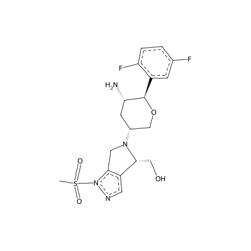 CS(=O)(=O)n1ncc2c1CN([C@H]1CO[C@H](c3cc(F)ccc3F)[C@@H](N)C1)[C@@H]2CO